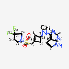 CN(c1ncnc2[nH]ccc12)C1CC(CS(=O)(=O)N2CCC(F)(F)C2)C1